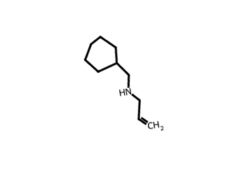 C=CCNCC1CCCCC1